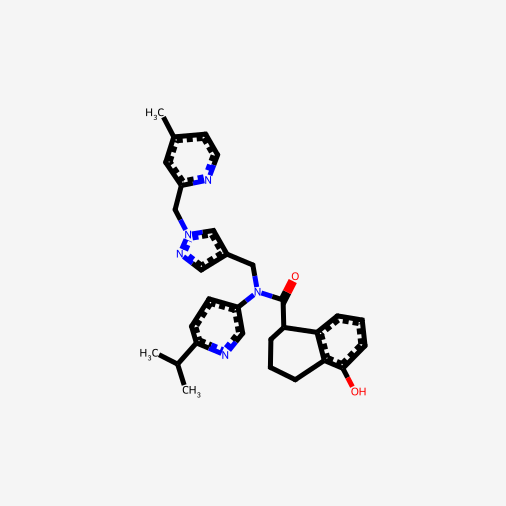 Cc1ccnc(Cn2cc(CN(C(=O)C3CCCc4c(O)cccc43)c3ccc(C(C)C)nc3)cn2)c1